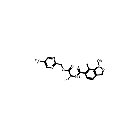 Cc1c(C(=O)N[C@H](C(=O)OCc2ncc(C(F)(F)F)cn2)C(C)C)ccc2c1B(O)OC2